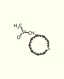 C[S+](C)[O-].c1ccccsccc1